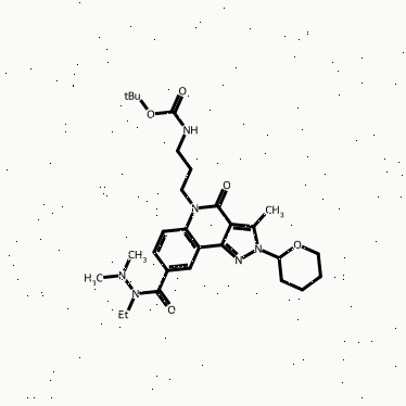 CCN(C(=O)c1ccc2c(c1)c1nn(C3CCCCO3)c(C)c1c(=O)n2CCCNC(=O)OC(C)(C)C)N(C)C